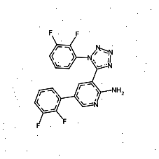 Nc1ncc(-c2cccc(F)c2F)cc1-c1nnnn1-c1cccc(F)c1F